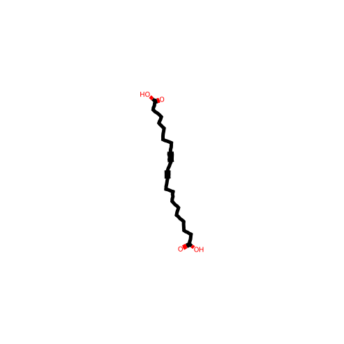 O=C(O)CCCCCCC#CC#CCCCCCCCCC(=O)O